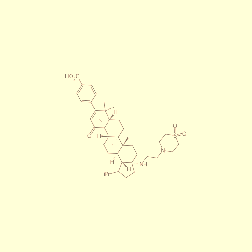 CC(C)C1CC[C@]2(NCCN3CCS(=O)(=O)CC3)CC[C@]3(C)[C@H](CC[C@@H]4[C@@]5(C)C(=O)C=C(c6ccc(C(=O)O)cc6)C(C)(C)[C@@H]5CC[C@]43C)[C@@H]12